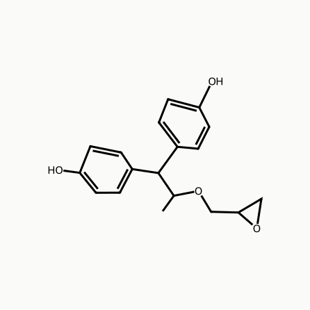 CC(OCC1CO1)C(c1ccc(O)cc1)c1ccc(O)cc1